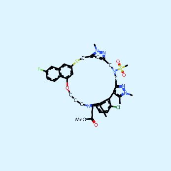 COC(=O)c1c(C)c2c3c(Cl)ccc2n1CCCOc1cc(cc2cc(F)ccc12)SCc1cc(nn1C)CN(S(C)(=O)=O)Cc1nn(C)c(C)c1-3